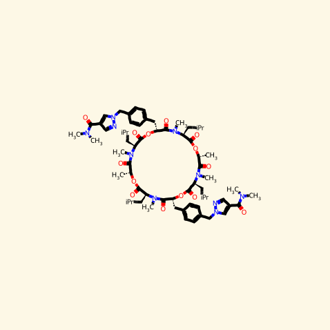 CC(C)C[C@H]1C(=O)O[C@H](Cc2ccc(Cn3cc(C(=O)N(C)C)cn3)cc2)C(=O)N(C)[C@@H](CC(C)C)C(=O)O[C@H](C)C(=O)N(C)[C@@H](CC(C)C)C(=O)O[C@H](Cc2ccc(Cn3cc(C(=O)N(C)C)cn3)cc2)C(=O)N(C)[C@@H](CC(C)C)C(=O)O[C@H](C)C(=O)N1C